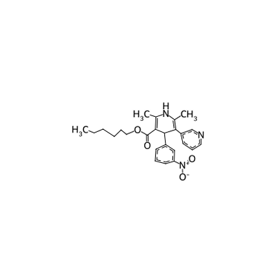 CCCCCCOC(=O)C1=C(C)NC(C)=C(c2cccnc2)C1c1cccc([N+](=O)[O-])c1